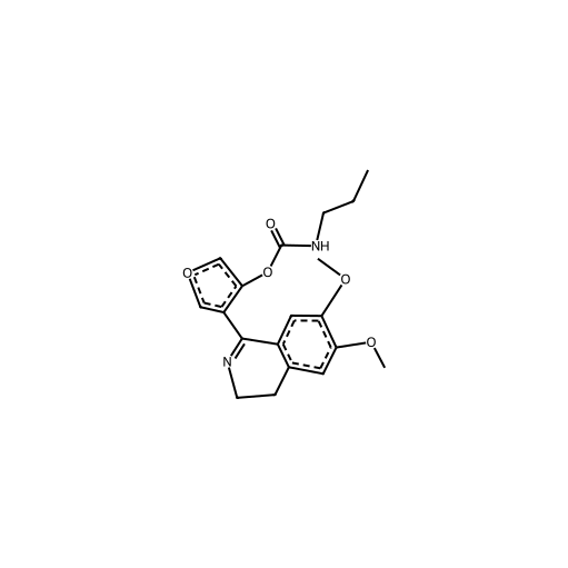 CCCNC(=O)Oc1cocc1C1=NCCc2cc(OC)c(OC)cc21